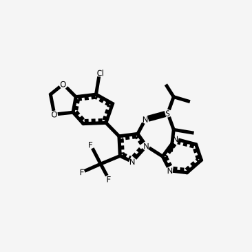 CC(C)S(=Nc1c(-c2cc(Cl)c3c(c2)OCO3)c(C(F)(F)F)nn1-c1ncccn1)C(C)C